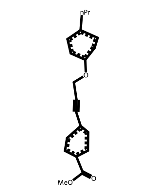 CCCc1ccc(OCC#Cc2ccc(C(=O)OC)cc2)cc1